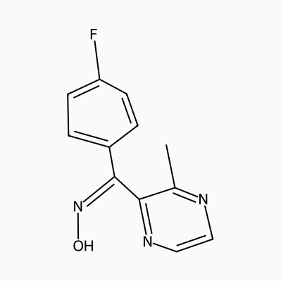 Cc1nccnc1/C(=N\O)c1ccc(F)cc1